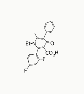 CCn1c(C)c(-c2ccccc2)c(=O)c(C(=O)O)c1-c1ccc(F)cc1F